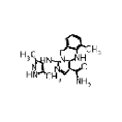 Cc1cccc(F)c1Nc1nc(Nc2c(C)n[nH]c2C)ncc1C(N)=O